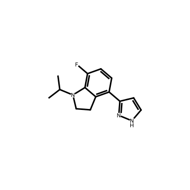 CC(C)N1CCc2c(-c3cc[nH]n3)ccc(F)c21